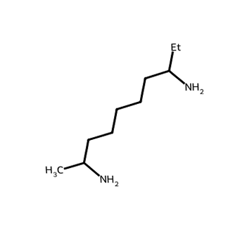 CCC(N)CCCCCC(C)N